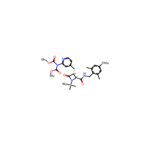 COc1cc(C)c(CNC(=O)[C@@H]2[C@@H](Cc3ccnc(N(C(=O)OC(C)(C)C)C(=O)OC(C)(C)C)c3)C(=O)N2[Si](C)(C)C(C)(C)C)c(C)c1